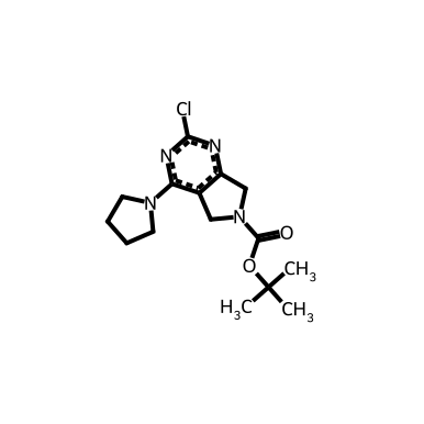 CC(C)(C)OC(=O)N1Cc2nc(Cl)nc(N3CCCC3)c2C1